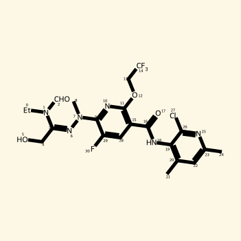 CCN(C=O)/C(CO)=N\N(C)c1nc(OCC(F)(F)F)c(C(=O)Nc2c(C)cc(C)nc2Cl)cc1F